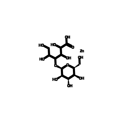 O=C(O)C(O)C(O)C(O[C@H]1O[C@H](CO)[C@@H](O)[C@H](O)[C@H]1O)C(O)CO.[Zn]